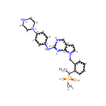 CC(c1ccccc1Cn1ccc2cnc(Nc3ccc(N4CCNCC4)cc3)nc21)S(C)(=O)=O